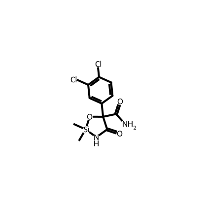 C[Si]1(C)NC(=O)C(C(N)=O)(c2ccc(Cl)c(Cl)c2)O1